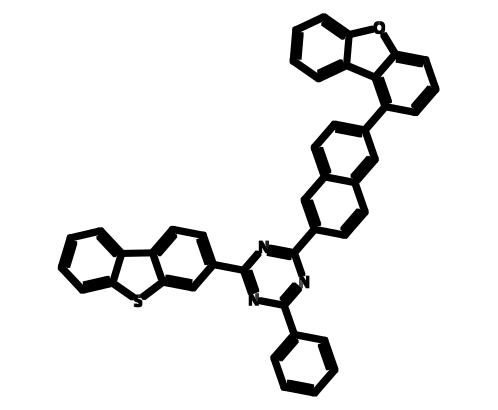 c1ccc(-c2nc(-c3ccc4cc(-c5cccc6oc7ccccc7c56)ccc4c3)nc(-c3ccc4c(c3)sc3ccccc34)n2)cc1